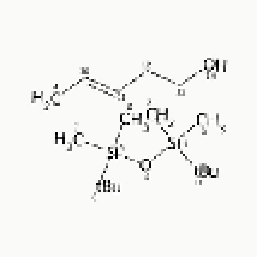 CC(C)(C)[Si](C)(C)O[Si](C)(C)C(C)(C)C.CC=CCCO